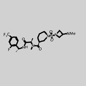 CNC1CN(S(=O)(=O)N2CCC[C@H](C(=O)N(C)[C@H](C)C(=O)N[C@H](C)c3ccc(C(F)(F)F)cc3F)C2)C1